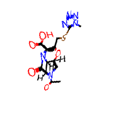 CC(=O)N1C[C@H]2OC(CSc3nnnn3C)=C(C(=O)O)N3C(=O)[C@@H]1[C@@H]23